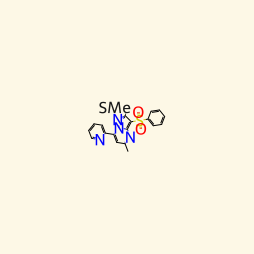 CSc1nn2c(-c3ccccn3)cc(C)nc2c1S(=O)(=O)c1ccccc1